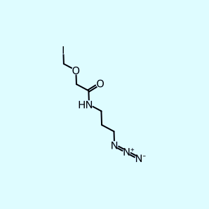 [N-]=[N+]=NCCCNC(=O)COCI